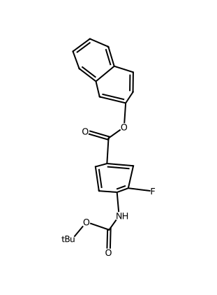 CC(C)(C)OC(=O)Nc1ccc(C(=O)Oc2ccc3ccccc3c2)cc1F